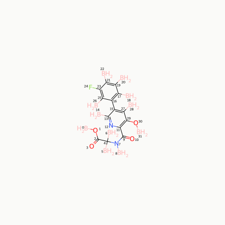 BOC(=O)C(B)(B)N(B)C(=O)c1nc(B)c(-c2c(B)c(B)c(B)c(F)c2B)c(B)c1OB